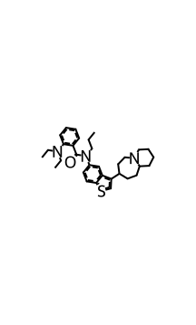 CCCN(C(=O)c1ccccc1N(CC)CC)c1ccc2scc(C3CCC4CCCCN4CC3)c2c1